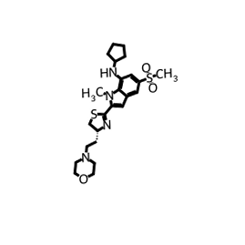 Cn1c(C2=N[C@H](CCN3CCOCC3)CS2)cc2cc(S(C)(=O)=O)cc(NC3CCCC3)c21